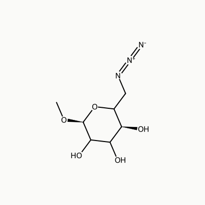 CO[C@H]1OC(CN=[N+]=[N-])[C@@H](O)C(O)C1O